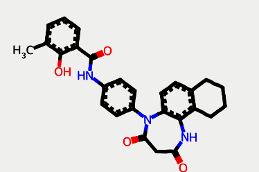 Cc1cccc(C(=O)Nc2ccc(N3C(=O)CC(=O)Nc4c3ccc3c4CCCC3)cc2)c1O